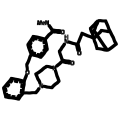 CNC(=O)c1ccc(COc2ccccc2CN2CCN(C(=O)CNC(=O)CC34CC5CC(CC(C5)C3)C4)CC2)cc1